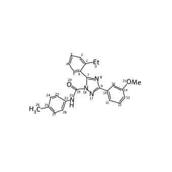 CCc1ccccc1-c1nc(-c2cccc(OC)c2)nn1C(=O)Nc1ccc(C)cc1